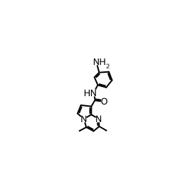 Cc1cc(C)n2ccc(C(=O)Nc3cccc(N)c3)c2n1